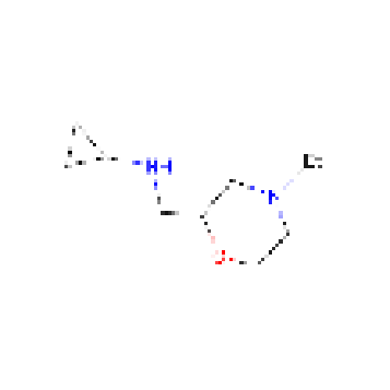 CCN1CCOC(CNC2CC2)C1